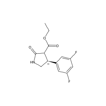 CCOC(=O)C1C(=O)NC[C@@H]1c1cc(F)cc(F)c1